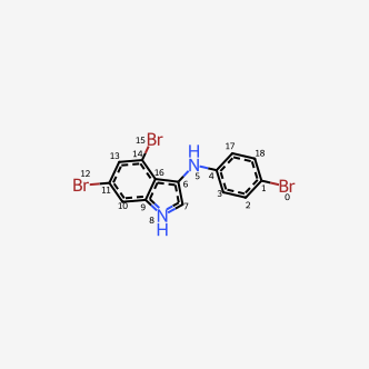 Brc1ccc(Nc2c[nH]c3cc(Br)cc(Br)c23)cc1